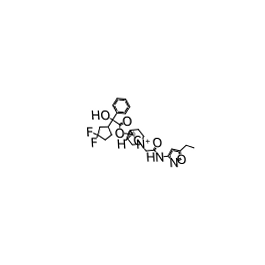 CCc1cc(NC(=O)C[N+]23CCC(CC2)[C@@H](OC(=O)C(O)(c2ccccc2)C2CCC(F)(F)C2)C3)no1